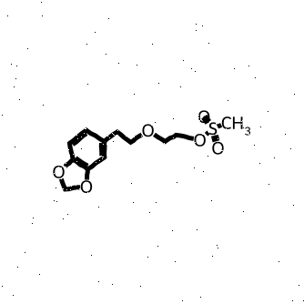 CS(=O)(=O)OCCOCCc1ccc2c(c1)OCO2